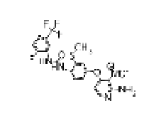 CSc1cc(Oc2ccnc(N)c2[N+](=O)[O-])ccc1NC(=O)Nc1cc(C(F)(F)F)ccc1F